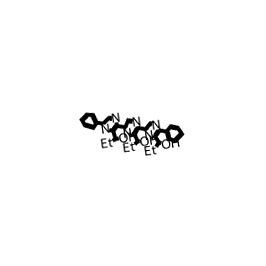 CCC(O)c1nc(-c2ncc(-c3ncc(-c4ccccc4)nc3C(O)CC)nc2C(O)CC)cnc1-c1ccccc1